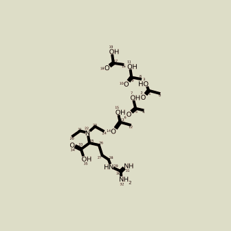 CC(=O)O.CC(=O)O.CC(=O)O.CC(=O)O.CC(=O)O.CCN(CC)C(CCCNC(=N)N)C(=O)O